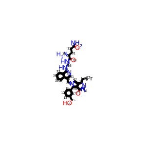 CC(C)Cc1nn(C)c(=O)c2c(-c3cccc(CO)c3)n(Cc3cnc(NCNC(=O)[C@@H](N)CCC(N)=O)c4ccccc34)cc12